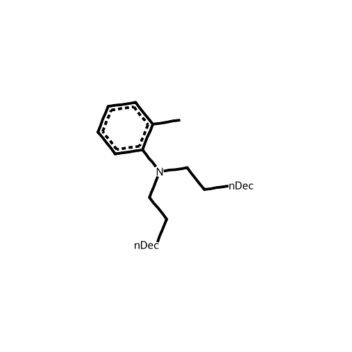 CCCCCCCCCCCCN(CCCCCCCCCCCC)c1ccccc1C